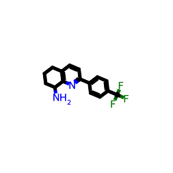 NC1CCCc2ccc(-c3ccc(C(F)(F)F)cc3)nc21